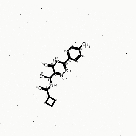 CCC(NC(=O)C1CCC1)c1nnc(-c2ccc(C)cc2)[nH]c1=O